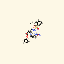 CC(C)N.CC(C)N.Cc1ccccc1S(=O)(=O)NCc1cc(=O)c(OCc2ccccc2)c(C(=O)O)n1C.O=CO